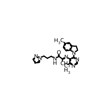 C/C(=N\c1c(C)ncnc1N1CCc2cc(C)ccc21)C(=O)NCCCn1cccn1